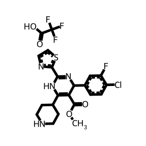 COC(=O)C1=C(C2CCNCC2)NC(c2nccs2)=NC1c1ccc(Cl)c(F)c1.O=C(O)C(F)(F)F